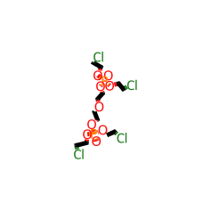 O=P(OCCCl)(OCCCl)OCCOCCOP(=O)(OCCCl)OCCCl